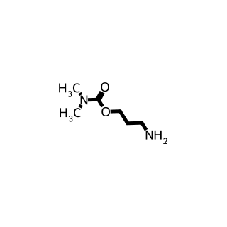 CN(C)C(=O)OCCCN